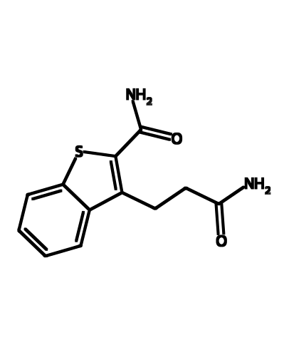 NC(=O)CCc1c(C(N)=O)sc2ccccc12